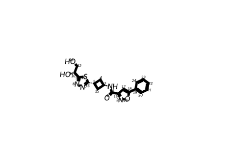 O=C(N[C@H]1C[C@@H](c2nnc([C@H](O)CO)s2)C1)c1cc(-c2ccccc2)on1